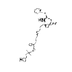 CC(C)(CCO)C1CC1C(=O)CCCSCCC(=O)NC(CO)Cc1ccccc1